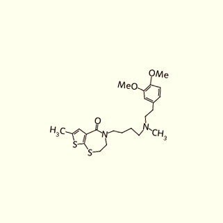 COc1ccc(CCN(C)CCCCN2CCSc3sc(C)cc3C2=O)cc1OC